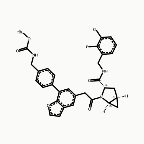 CC(C)(C)OC(=O)NCc1ccc(-c2cc(CC(=O)N3[C@@H]4C[C@@H]4C[C@H]3C(=O)NCc3cccc(Cl)c3F)cc3ccoc23)cc1